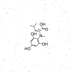 CC(C)C[C@@H](C(=O)O)N(C)c1c(O)cc(O)cc1O